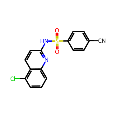 N#Cc1ccc(S(=O)(=O)Nc2ccc3c(Cl)cccc3n2)cc1